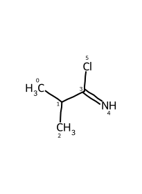 CC(C)C(=N)Cl